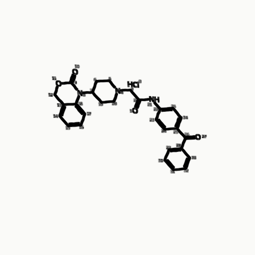 Cl.O=C(CN1CCC(N2C(=O)OCc3ccccc32)CC1)Nc1ccc(C(=O)c2ccccc2)cc1